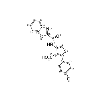 O=C(Nc1csc(-c2ccc(Cl)cc2)c1C(=O)O)c1nc2ccccc2o1